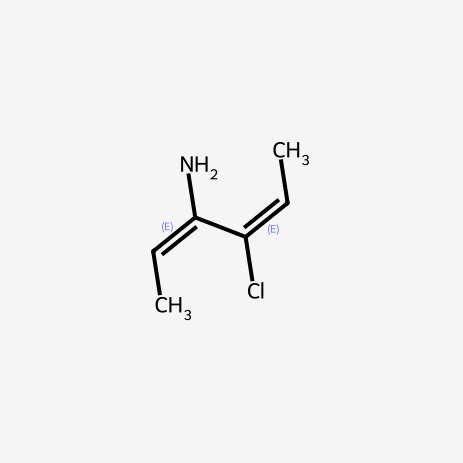 C/C=C(N)\C(Cl)=C/C